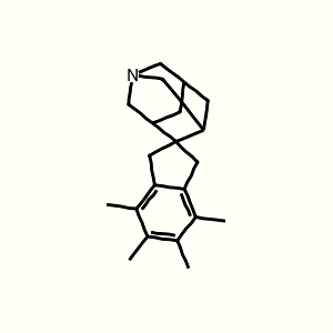 Cc1c(C)c(C)c2c(c1C)CC1(C2)C2CC3CC1CN(C3)C2